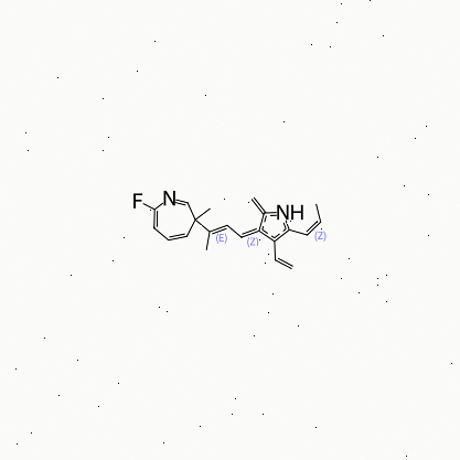 C=Cc1c(/C=C\C)[nH]c(=C)/c1=C\C=C(/C)C1(C)C=CC=C(F)N=C1